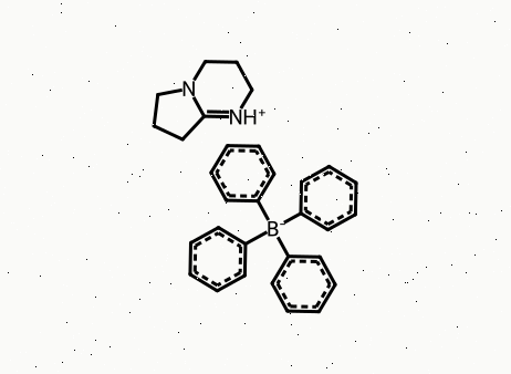 C1C[NH+]=C2CCCN2C1.c1ccc([B-](c2ccccc2)(c2ccccc2)c2ccccc2)cc1